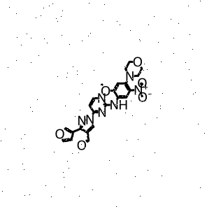 COc1cc(N2CCOCC2)c([N+](=O)[O-])cc1Nc1nccc(-n2cc(C=O)c(-c3ccoc3)n2)n1